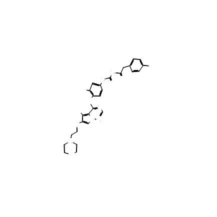 Cc1c(OCCN2CCOCC2)cn2ncnc(Oc3ccc(NC(=S)NC(=O)Cc4ccc(F)cc4)cc3F)c12